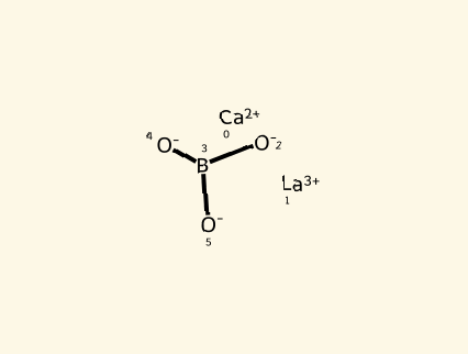 [Ca+2].[La+3].[O-]B([O-])[O-]